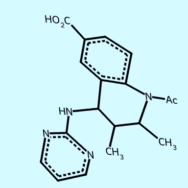 CC(=O)N1c2ccc(C(=O)O)cc2C(Nc2ncccn2)C(C)C1C